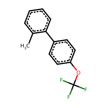 Cc1ccccc1-c1ccc(OC(F)(F)F)cc1